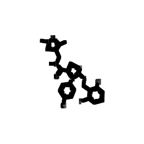 Cc1nn(C)cc1CN(C)C(=O)c1cnc(SCc2c(F)cccc2Cl)n1-c1ccc(Cl)cc1